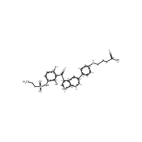 CCCS(=O)(=O)Nc1ccc(F)c(C(=O)c2c[nH]c3ncc(-c4ccc(OCCCC(=O)O)cc4)cc23)c1F